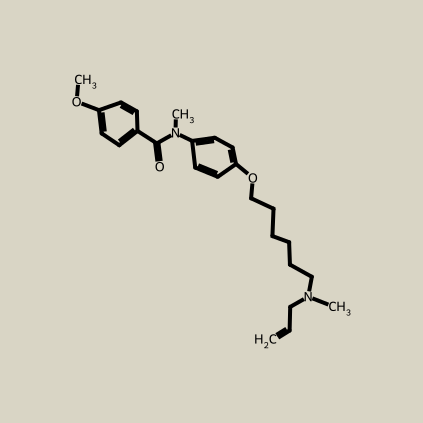 C=CCN(C)CCCCCCOc1ccc(N(C)C(=O)c2ccc(OC)cc2)cc1